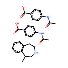 CC(=O)Nc1ccc(C(=O)O)cc1.CC(=O)Nc1ccc(C(=O)O)cc1.CC1CNCCc2ccccc21